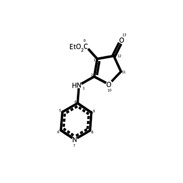 CCOC(=O)C1=C(Nc2ccncc2)OCC1=O